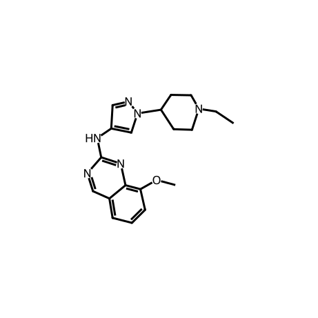 CCN1CCC(n2cc(Nc3ncc4cccc(OC)c4n3)cn2)CC1